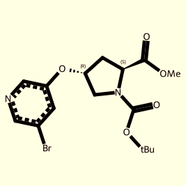 COC(=O)[C@@H]1C[C@@H](Oc2cncc(Br)c2)CN1C(=O)OC(C)(C)C